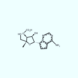 C[C@]1(CO)O[C@@H](c2ccc3c(N)ncnn23)[C@H](O)[C@@H]1OC(=O)O